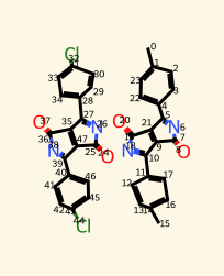 Cc1ccc(-c2nc(=O)c3c(-c4ccc(C)cc4)nc(=O)c2=3)cc1.O=c1nc(-c2ccc(Cl)cc2)c2c(=O)nc(-c3ccc(Cl)cc3)c1=2